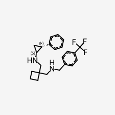 FC(F)(F)c1ccc(CNCC2(CN[C@H]3C[C@@H]3c3ccccc3)CCC2)cc1